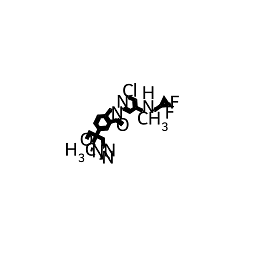 CC(NCC1CC1(F)F)c1cc(Cl)nc(N2Cc3ccc(C4(Cc5nncn5C)COC4)cc3C2=O)c1